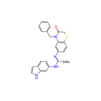 CS/C(=N\c1ccc2c(c1)N(Cc1ccccc1)C(=O)CS2)Nc1ccc2cc[nH]c2c1